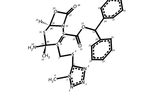 Cn1nnnc1SCS1=S(C(=O)OC(c2ccccc2)c2ccccc2)N2C(=O)O[C@@H]2S[C@@]1(C)N